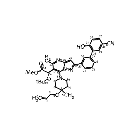 C=CCOC1(C)CCN(c2c([C@H](OC(C)(C)C)C(=O)OC)c(C)nc3cc(-c4cccc(-c5cc(C#N)ccc5O)c4)nn23)CC1